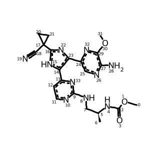 COC(=O)N[C@@H](C)CNc1nccc(-c2[nH]c(C3(C#N)CC3)nc2-c2cnc(N)c(OC)n2)n1